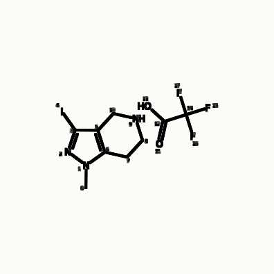 Cn1nc(I)c2c1CCNC2.O=C(O)C(F)(F)F